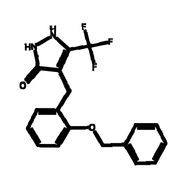 O=c1[nH][nH]c(C(F)(F)F)c1Cc1ccccc1OCc1ccccc1